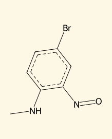 CNc1ccc(Br)cc1N=O